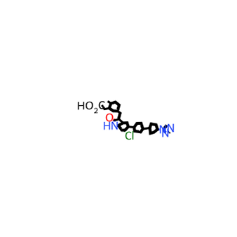 Cc1ccc(C=C2C(=O)Nc3cc(Cl)c(-c4ccc(-c5ccc(-n6cncn6)cc5)cc4)cc32)cc1CC(=O)O